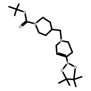 CC(C)(C)OC(=O)N1CCC(CN2CC=C(B3OC(C)(C)C(C)(C)O3)CC2)CC1